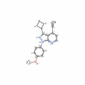 C#Cc1ccnc2c1c(C1CCC1)nn2-c1ccc(OC(F)(F)F)cc1